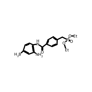 Bc1ccc(NC(=O)c2ccc(CP(=O)(OCC)OCC)cc2)c(N)c1